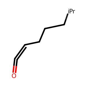 CC(C)CCCC=C=O